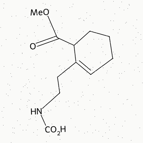 COC(=O)C1CCCC=C1CCNC(=O)O